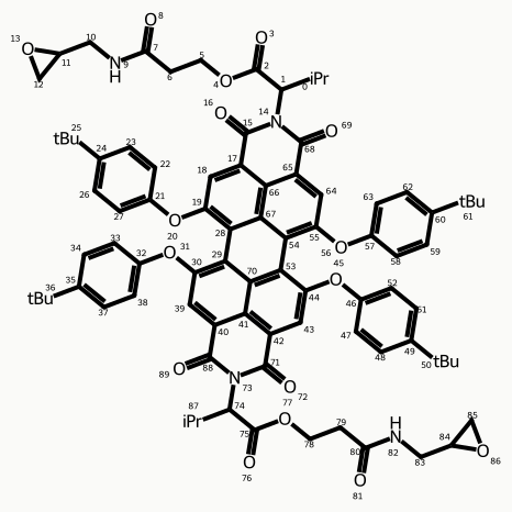 CC(C)C(C(=O)OCCC(=O)NCC1CO1)N1C(=O)c2cc(Oc3ccc(C(C)(C)C)cc3)c3c4c(Oc5ccc(C(C)(C)C)cc5)cc5c6c(cc(Oc7ccc(C(C)(C)C)cc7)c(c7c(Oc8ccc(C(C)(C)C)cc8)cc(c2c37)C1=O)c64)C(=O)N(C(C(=O)OCCC(=O)NCC1CO1)C(C)C)C5=O